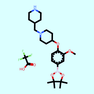 COc1cc(B2OC(C)(C)C(C)(C)O2)ccc1OC1CCN(CC2CCNCC2)CC1.O=C(O)C(F)(F)F